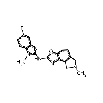 CN1Cc2ccc3oc(Nc4nc5cc(F)ccc5n4C)nc3c2C1